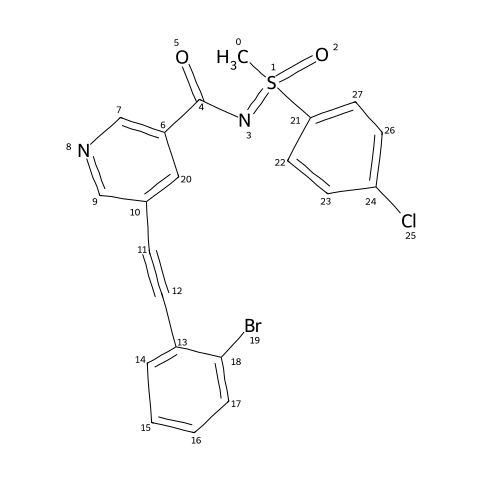 CS(=O)(=NC(=O)c1cncc(C#Cc2ccccc2Br)c1)c1ccc(Cl)cc1